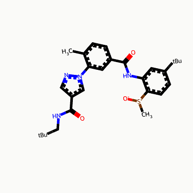 Cc1ccc(C(=O)Nc2cc(C(C)(C)C)ccc2[S+](C)[O-])cc1-n1cc(C(=O)NCC(C)(C)C)cn1